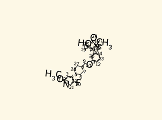 COc1cc([C@H]2CC[C@H](COc3cccc([C@H](C4CC4)[C@@](C)(F)C(=O)O)c3)CC2)c(F)cn1